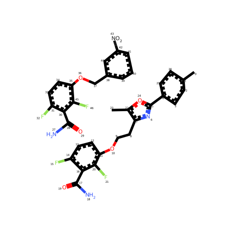 Cc1ccc(-c2nc(CCOc3ccc(F)c(C(N)=O)c3F)c(C)o2)cc1.NC(=O)c1c(F)ccc(OCc2cccc([N+](=O)[O-])c2)c1F